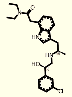 CCN(CC)C(=O)Cc1cccc2c(C[C@@H](C)NC[C@H](O)c3cccc(Cl)c3)c[nH]c12